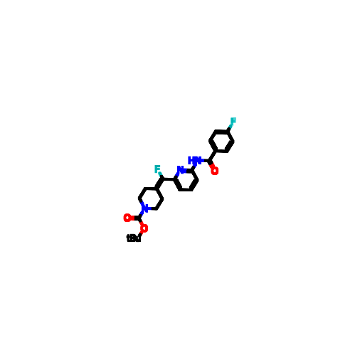 CC(C)(C)OC(=O)N1CCC(=C(F)c2cccc(NC(=O)c3ccc(F)cc3)n2)CC1